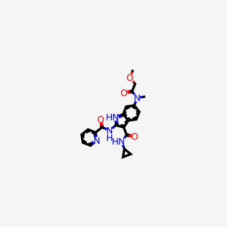 COCC(=O)N(C)c1ccc2c(C(=O)NC3CC3)c(NC(=O)c3ccccn3)[nH]c2c1